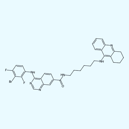 O=C(NCCCCCCNc1c2c(nc3ccccc13)CCCC2)c1ccc2c(Nc3ccc(F)c(Br)c3F)ncnc2c1